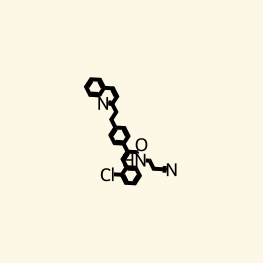 N#CCCNC(=O)C(=Cc1ccccc1Cl)c1ccc(CCc2ccc3ccccc3n2)cc1